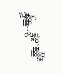 Nc1nc(N)c(C(=O)NC(=O)NCCCCc2ccc(CC(N)C(=O)Nc3ccc(CCCNC[C@H](O)[C@@H](O)[C@H](O)[C@H](O)CO)cc3)c3c2CCCC3)nc1Cl